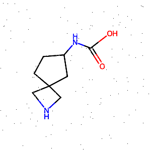 O=C(O)NC1CCC2(CNC2)C1